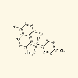 CC1COc2c(F)ccc(F)c2[C@@H]1S(=O)(=O)c1ccc(Cl)cc1